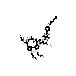 CCCCCCOc1ccc(-c2nc(C)c(C(=O)NC(CCN)C(=O)N(C)C3C(=O)NC(C)C(=O)NC(C(=O)NCC#N)Cc4ccc(OCCN)c(c4)-c4cc3ccc4OCCN)c(C)n2)cc1